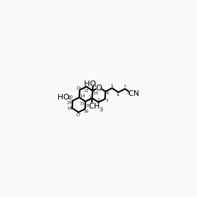 CC12CCC(CCCC#N)OC1(O)CCC1C2CCC[C@@H]1O